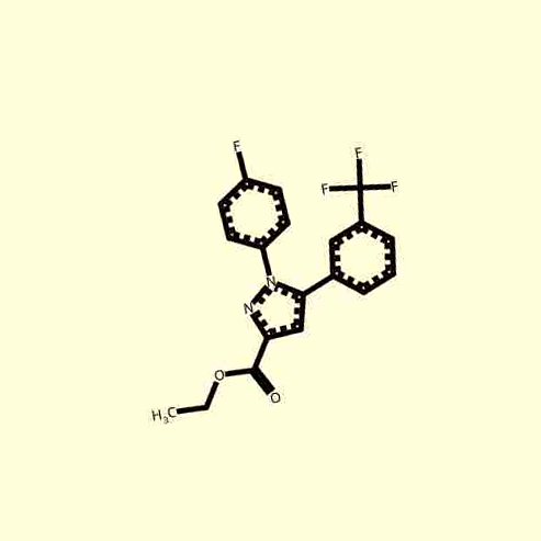 CCOC(=O)c1cc(-c2cccc(C(F)(F)F)c2)n(-c2ccc(F)cc2)n1